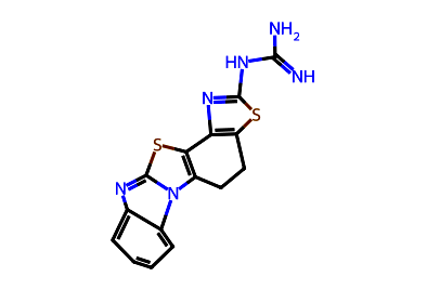 N=C(N)Nc1nc2c(s1)CCc1c-2sc2nc3ccccc3n12